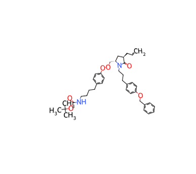 C=CC[C@@H]1C[C@@H](COOc2ccc(CCCCNC(=O)OC(C)(C)C)cc2)N(CCCc2ccc(OCc3ccccc3)cc2)C1=O